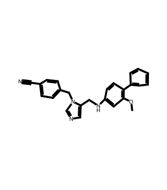 COc1cc(NCc2cncn2Cc2ccc(C#N)cc2)ccc1-c1ccccc1